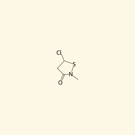 CN1SC(Cl)CC1=O